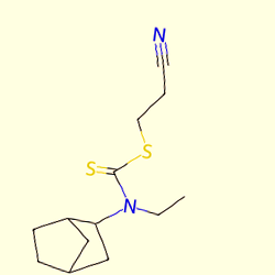 CCN(C(=S)SCCC#N)C1CC2CCC1C2